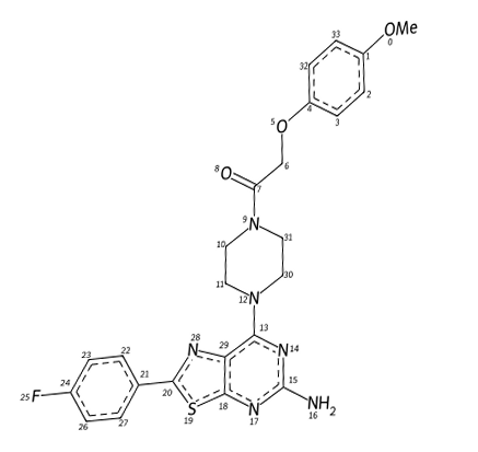 COc1ccc(OCC(=O)N2CCN(c3nc(N)nc4sc(-c5ccc(F)cc5)nc34)CC2)cc1